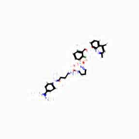 Cc1cc(C)c2cccc(OCc3c(Cl)ccc(S(=O)(=O)N4CCC[C@H]4C(=O)NCCCC(=O)Nc4ccc(C(=N)N)cc4)c3Cl)c2n1